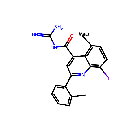 COc1ccc(I)c2nc(-c3ccccc3C)cc(C(=O)NC(=N)N)c12